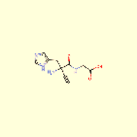 C#CC(N)(Cc1cnc[nH]1)C(=O)NCC(=O)O